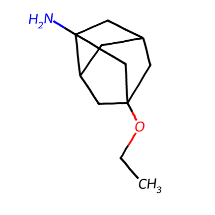 CCOC12CC3CC(C1)C(N)(C3)C2